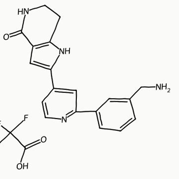 NCc1cccc(-c2cc(-c3cc4c([nH]3)CCNC4=O)ccn2)c1.O=C(O)C(F)(F)F